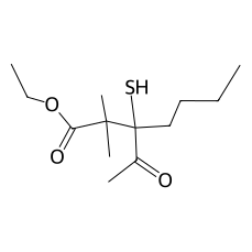 CCCCC(S)(C(C)=O)C(C)(C)C(=O)OCC